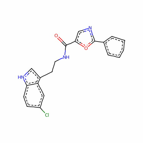 O=C(NCCc1c[nH]c2ccc(Cl)cc12)c1cnc(-c2ccccc2)o1